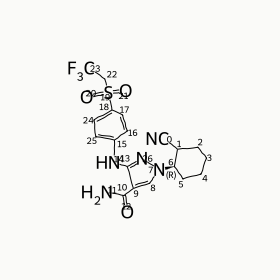 N#CC1CCCC[C@H]1n1cc(C(N)=O)c(Nc2ccc(S(=O)(=O)CC(F)(F)F)cc2)n1